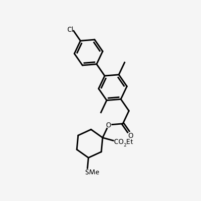 CCOC(=O)C1(OC(=O)Cc2cc(C)c(-c3ccc(Cl)cc3)cc2C)CCCC(SC)C1